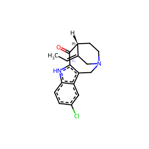 C/C=C1/CN2CC[C@H]1C(=O)c1[nH]c3ccc(Cl)cc3c1C2